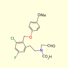 COc1ccc(OCc2c(Cl)cc(F)cc2CCN(CC=O)C(=O)O)cc1